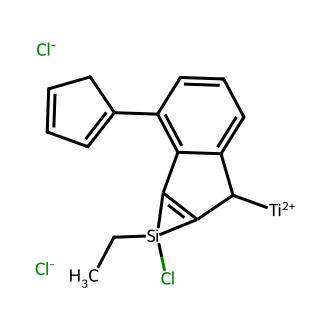 CC[Si]1(Cl)C2=C1[CH]([Ti+2])c1cccc(C3=CC=CC3)c12.[Cl-].[Cl-]